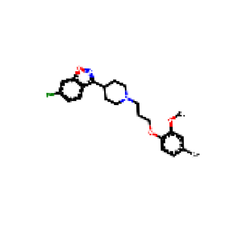 CCOc1cc(C(C)=O)ccc1OCCCN1CCC(c2noc3cc(F)ccc23)CC1